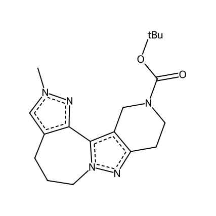 Cn1cc2c(n1)-c1c3c(nn1CCC2)CCN(C(=O)OC(C)(C)C)C3